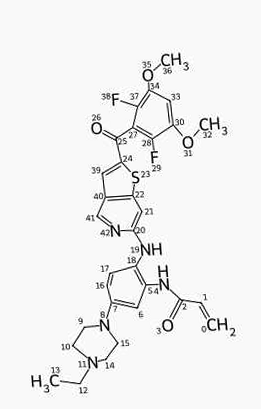 C=CC(=O)Nc1cc(N2CCN(CC)CC2)ccc1Nc1cc2sc(C(=O)c3c(F)c(OC)cc(OC)c3F)cc2cn1